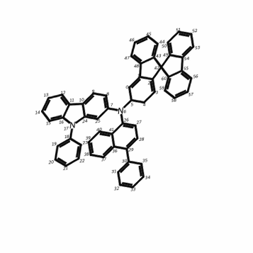 C1=C2C(=CCC1N(c1ccc3c4ccccc4n(-c4ccccc4)c3c1)c1ccc(-c3ccccc3)c3ccccc13)C1(c3ccccc32)c2ccccc2-c2ccccc21